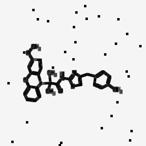 COc1ccc2c(c1)Oc1ccccc1C2C(C)(C)C(=O)Nc1nc(Cc2ccc(C)cc2)cs1